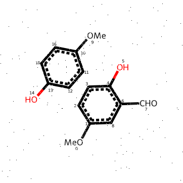 COc1ccc(O)c(C=O)c1.COc1ccc(O)cc1